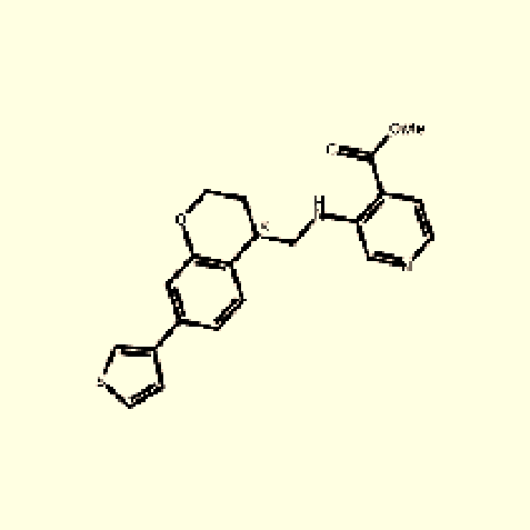 COC(=O)c1ccncc1NC[C@@H]1CCOc2cc(-c3ccsc3)ccc21